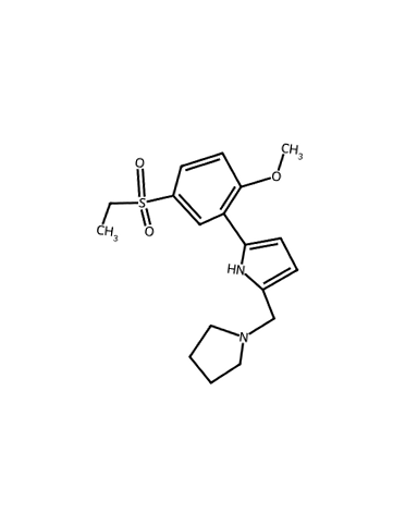 CCS(=O)(=O)c1ccc(OC)c(-c2ccc(CN3CCCC3)[nH]2)c1